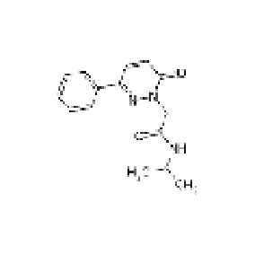 CC(C)NC(=O)Cn1nc(-c2ccccc2)ccc1=O